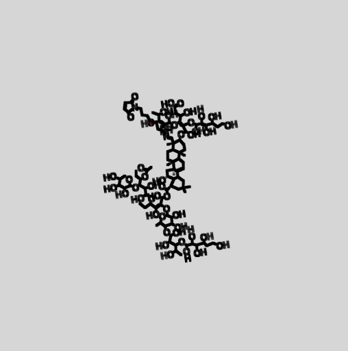 CCC(OC(O)C(O)C(OC1OCC(O)C(O)C1O)C(CC)OC(C)=O)/C(O)=C(/OC1OC(C)C(OC(O)C(O)C(OC(O)C(O)C(O)C(O)CCO)C(C)O)C(O)C1O)C(O)OC(=O)[C@@H]1CC(C)(C)CC2C3=CCC4[C@@]5(C)CC[C@H](OC(O)/C(OC(O)/C(O)=C(\O)C(O)CCO)=C(\OC(O)/C(O)=C(/O)C(C)O)C(O)CC(=O)O)[C@@](C)(/C=N/NCCCCCCN6C(=O)C=CC6=O)C5CC[C@@]4(C)[C@]3(C)C[C@@H](O)C21